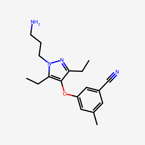 CCc1nn(CCCN)c(CC)c1Oc1cc(C)cc(C#N)c1